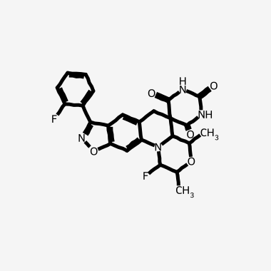 CC1OC(C)C2N(c3cc4onc(-c5ccccc5F)c4cc3CC23C(=O)NC(=O)NC3=O)C1F